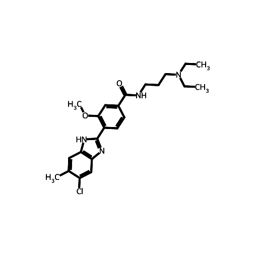 CCN(CC)CCCNC(=O)c1ccc(-c2nc3cc(Cl)c(C)cc3[nH]2)c(OC)c1